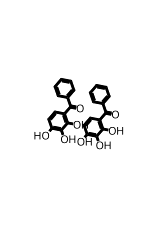 O=C(c1ccccc1)c1ccc(O)c(O)c1O.O=C(c1ccccc1)c1ccc(O)c(O)c1O